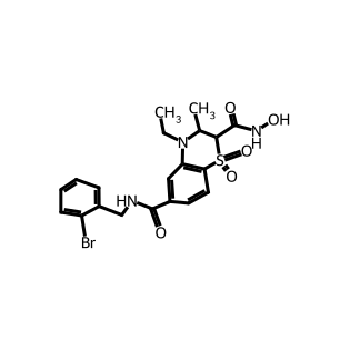 CCN1c2cc(C(=O)NCc3ccccc3Br)ccc2S(=O)(=O)C(C(=O)NO)C1C